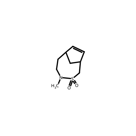 CN1CCC2C=CC(C2)CS1(=O)=O